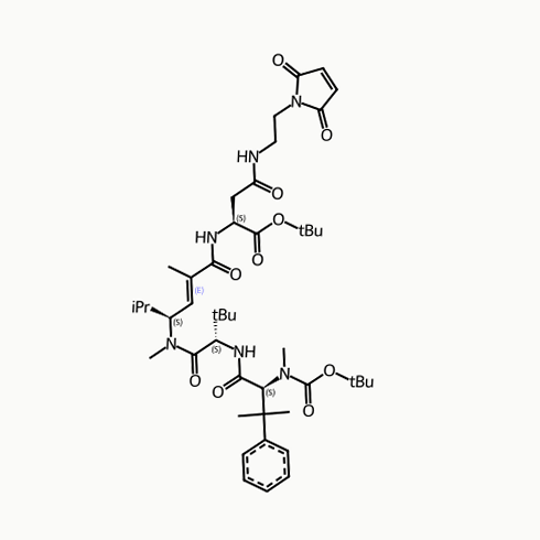 C/C(=C\[C@H](C(C)C)N(C)C(=O)[C@@H](NC(=O)[C@@H](N(C)C(=O)OC(C)(C)C)C(C)(C)c1ccccc1)C(C)(C)C)C(=O)N[C@@H](CC(=O)NCCN1C(=O)C=CC1=O)C(=O)OC(C)(C)C